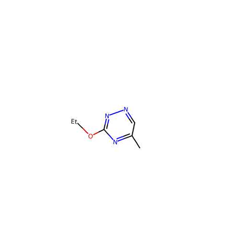 CCOc1nncc(C)n1